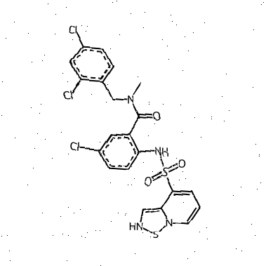 CN(Cc1ccc(Cl)cc1Cl)C(=O)c1cc(Cl)ccc1NS(=O)(=O)C1=CC=CN2SNC=C12